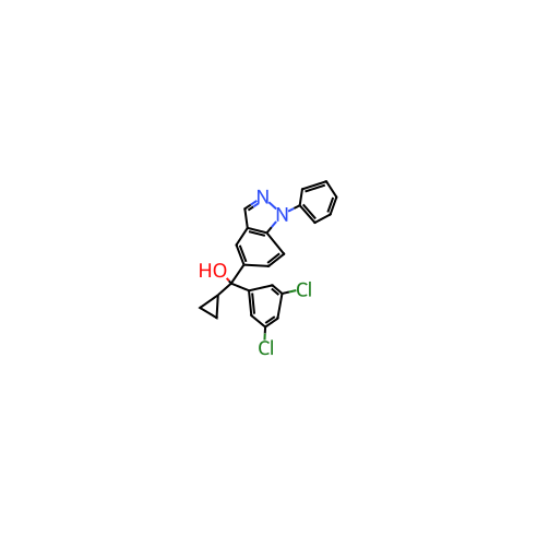 OC(c1cc(Cl)cc(Cl)c1)(c1ccc2c(cnn2-c2ccccc2)c1)C1CC1